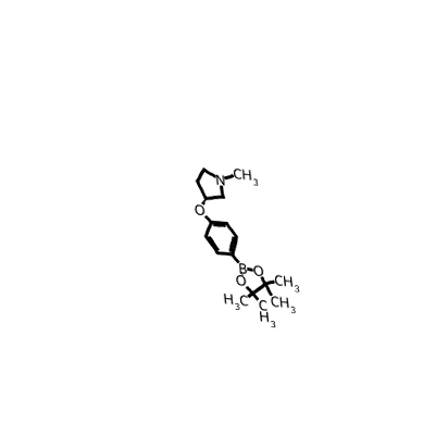 CN1CC[C@H](Oc2ccc(B3OC(C)(C)C(C)(C)O3)cc2)C1